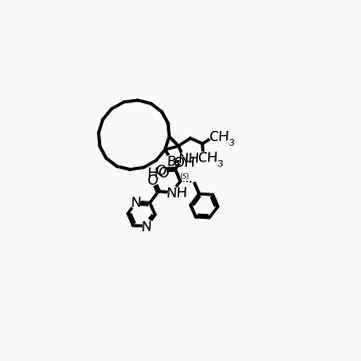 CC(C)CC1(NC(=O)[C@H](Cc2ccccc2)NC(=O)c2cnccn2)C2CCCCCCCCCCCCCCC21B(O)O